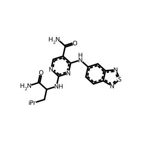 CC(C)CC(Nc1ncc(C(N)=O)c(Nc2ccc3nsnc3c2)n1)C(N)=O